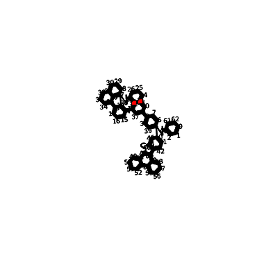 c1ccc(N(c2ccc(-c3cccc(-c4cccc5c4N(c4ccccc4)c4cccc6cccc-5c46)c3)cc2)c2ccc3c(c2)sc2c4ccccc4c4ccccc4c32)cc1